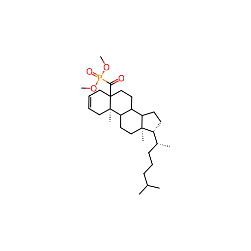 COP(=O)(OC)C(=O)C12CC=CC[C@]1(C)C1CC[C@@]3(C)C(CC[C@@H]3[C@H](C)CCCC(C)C)C1CC2